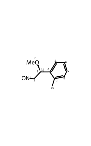 CO[C@H](CN=O)c1ccccc1C